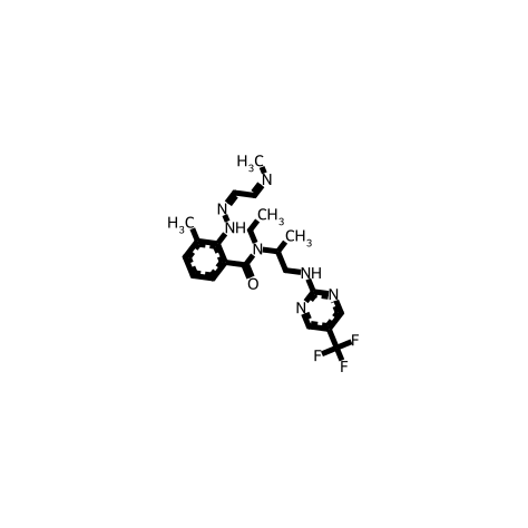 CCN(C(=O)c1cccc(C)c1N/N=C\C=N/C)C(C)CNc1ncc(C(F)(F)F)cn1